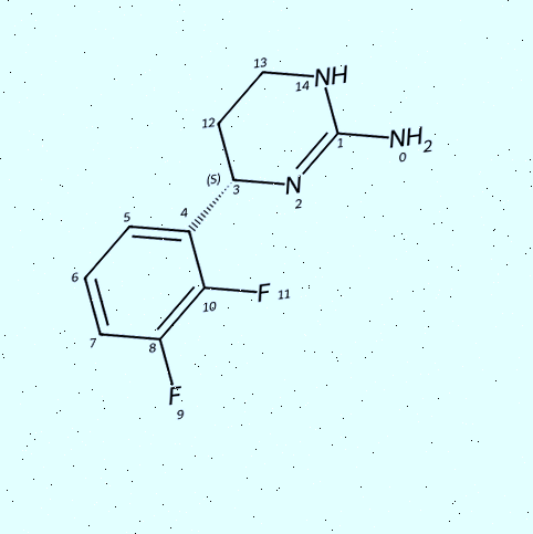 NC1=N[C@H](c2cccc(F)c2F)CCN1